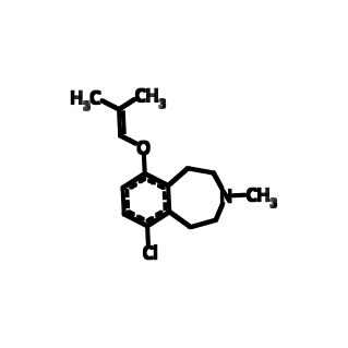 CC(C)=COc1ccc(Cl)c2c1CCN(C)CC2